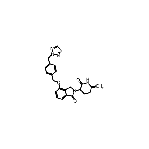 C=C1CCC(N2Cc3c(OCc4ccc(Cn5ncnn5)cc4)cccc3C2=O)C(=O)N1